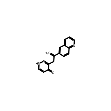 C=C(Cc1n[nH]ccc1=O)c1ccc2ncccc2c1